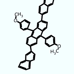 COc1ccc(-c2c3ccc(-c4ccc5ccccc5c4)cc3c(-c3ccc(OC)cc3)c3ccc(-c4ccc5ccccc5c4)cc23)cc1